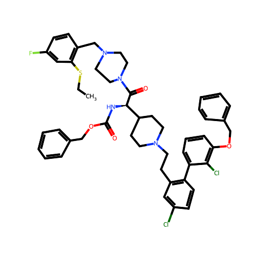 CCSc1cc(F)ccc1CN1CCN(C(=O)[C@H](NC(=O)OCc2ccccc2)C2CCN(CCc3cc(Cl)ccc3-c3cccc(OCc4ccccc4)c3Cl)CC2)CC1